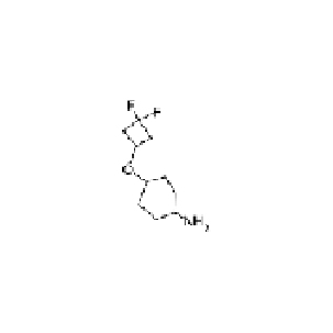 NC1CCC(OC2CC(F)(F)C2)CC1